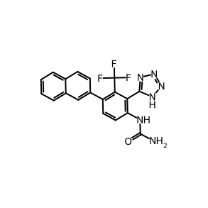 NC(=O)Nc1ccc(-c2ccc3ccccc3c2)c(C(F)(F)F)c1-c1nnn[nH]1